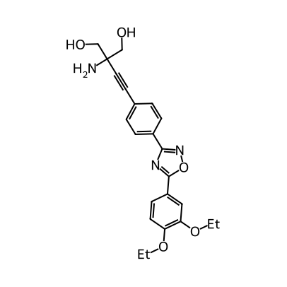 CCOc1ccc(-c2nc(-c3ccc(C#CC(N)(CO)CO)cc3)no2)cc1OCC